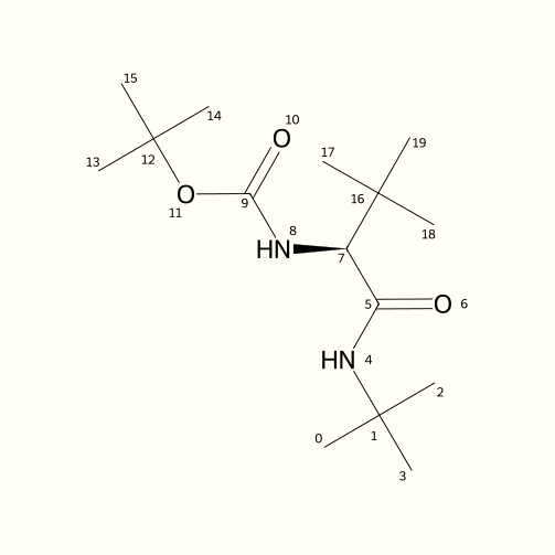 CC(C)(C)NC(=O)[C@@H](NC(=O)OC(C)(C)C)C(C)(C)C